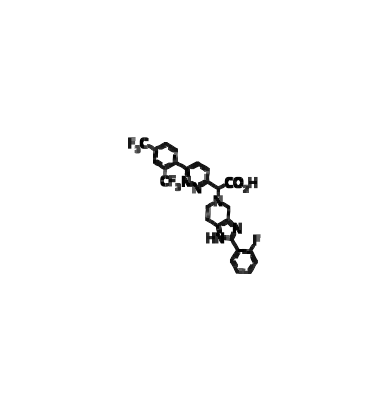 O=C(O)C(c1ccc(-c2ccc(C(F)(F)F)cc2C(F)(F)F)nn1)N1C=Cc2[nH]c(-c3ccccc3F)nc2C1